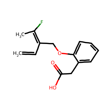 C=C/C(COc1ccccc1CC(=O)O)=C(\C)F